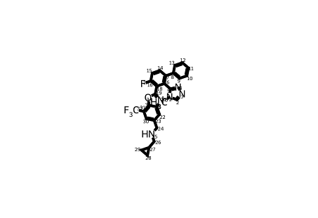 Cn1cnnc1-c1c(-c2ccccc2)ccc(F)c1-c1nc2cc(CNCC3CC3)cc(C(F)(F)F)c2o1